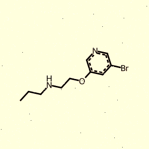 CCCNCCOc1cncc(Br)c1